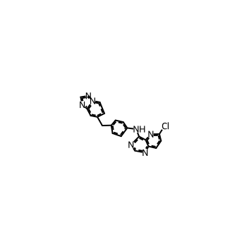 Clc1ccc2ncnc(Nc3ccc(Cc4ccn5ncnc5c4)cc3)c2n1